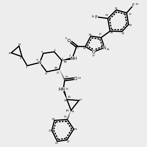 O=C(N[C@@H]1CCN(CC2CC2)C[C@H]1C(=O)N[C@H]1C[C@@H]1c1ccccc1)c1cc(-c2ccc(F)cc2F)no1